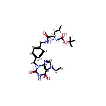 CCC[C@@H](NC(=O)OC(C)(C)C)C(=O)NCc1ccc(Cn2c(=O)[nH]c(=O)c3c2ncn3CC)cc1